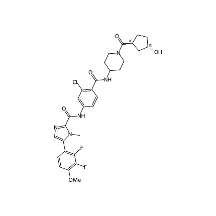 COc1ccc(-c2cnc(C(=O)Nc3ccc(C(=O)NC4CCN(C(=O)[C@H]5CC[C@H](O)C5)CC4)c(Cl)c3)n2C)c(F)c1F